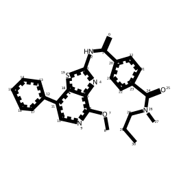 C=C(Nc1nc2c(OC)ncc(-c3ccccc3)c2s1)c1ccc(C(=O)N(C)CCC)cc1